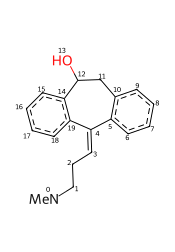 CNCCC=C1c2ccccc2CC(O)c2ccccc21